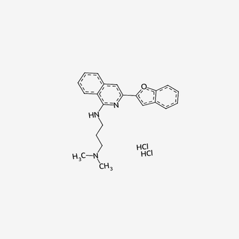 CN(C)CCCNc1nc(-c2cc3ccccc3o2)cc2ccccc12.Cl.Cl